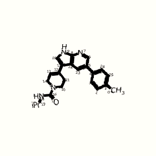 Cc1ccc(-c2cnc3[nH]cc(C4=CCN(C(=O)NC(C)C)CC4)c3c2)cc1